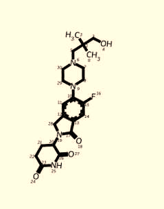 CC(C)(CO)CN1CCN(c2cc3c(cc2F)C(=O)N(C2CCC(=O)NC2=O)C3)CC1